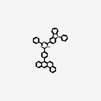 c1ccc(C2=NC(c3ccc(-c4c5ccccc5cc5c4ccc4ccccc45)cc3)NC(c3ccc4c(c3)c3ccccc3n4-c3ccccc3)=N2)cc1